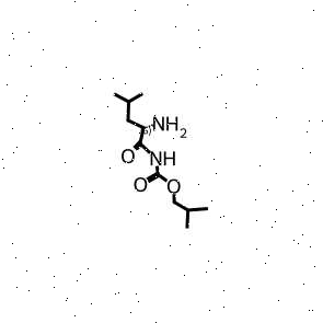 CC(C)COC(=O)NC(=O)[C@@H](N)CC(C)C